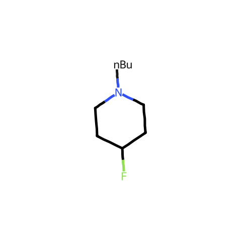 [CH2]CCCN1CCC(F)CC1